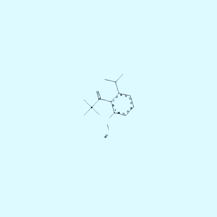 CC(C)c1cccc(O[PH2]=O)c1C(=O)C(C)(C)C